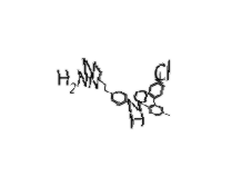 Cc1ccc(C(=O)Nc2ccc(CCc3ccnc(N)n3)cc2)c(-c2ccc(Cl)cc2)c1